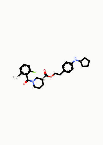 Cc1cccc(F)c1C(=O)N1CCC[C@H](C(=O)OCCc2ccc(NC3CCCC3)cc2)C1